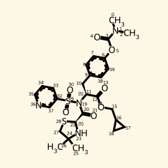 CN(C)C(=O)Oc1ccc(C[C@@H](C(=O)OCC2CC2)N(C(=O)[C@H]2NC(C)(C)CS2)S(=O)(=O)c2cccnc2)cc1